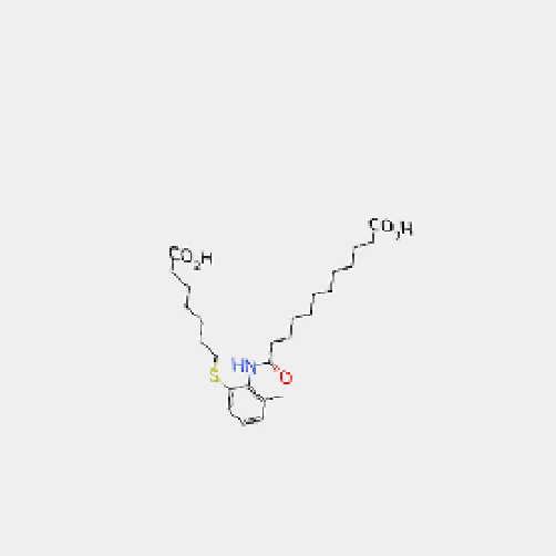 Cc1cccc(SCCCCCCC(=O)O)c1NC(=O)CCCCCCCCCCC(=O)O